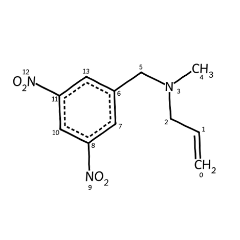 C=CCN(C)Cc1cc([N+](=O)[O-])cc([N+](=O)[O-])c1